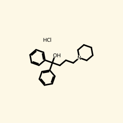 Cl.OC(CCCN1CCCCC1)(c1ccccc1)c1ccccc1